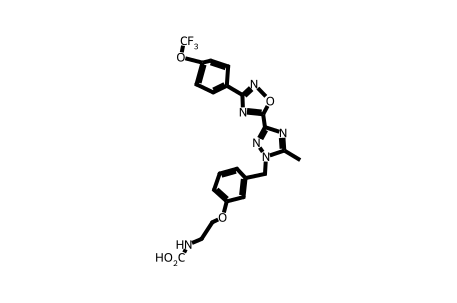 Cc1nc(-c2nc(-c3ccc(OC(F)(F)F)cc3)no2)nn1Cc1cccc(OCCNC(=O)O)c1